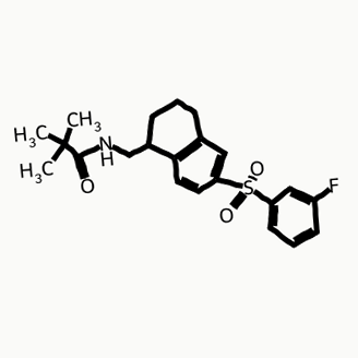 CC(C)(C)C(=O)NCC1CCCc2cc(S(=O)(=O)c3cccc(F)c3)ccc21